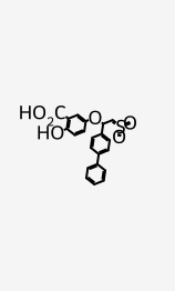 O=C(O)c1cc(OC(C=S(=O)=O)c2ccc(-c3ccccc3)cc2)ccc1O